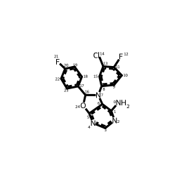 Nc1ncnc2c1N(c1ccc(F)c(Cl)c1)C(c1ccc(F)cc1)O2